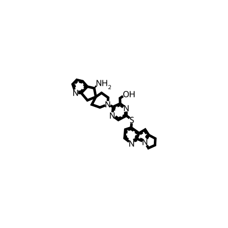 N[C@@H]1c2cccnc2CC12CCN(c1ncc(Sc3ccnc4c3cc3n4CCC3)nc1CO)CC2